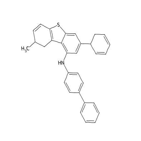 CC1C=Cc2sc3cc(C4C=CC=CC4)cc(Nc4ccc(-c5ccccc5)cc4)c3c2C1